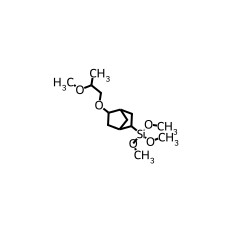 COC(C)COC1CC2CC1CC2[Si](OC)(OC)OC